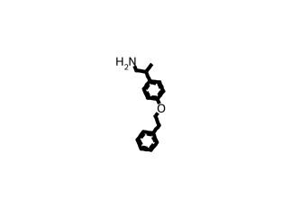 CC(CN)c1ccc(OCCc2ccccc2)cc1